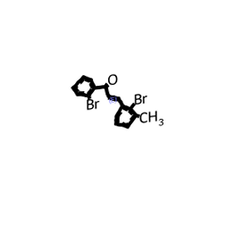 Cc1cccc(/C=C/C(=O)c2ccccc2Br)c1Br